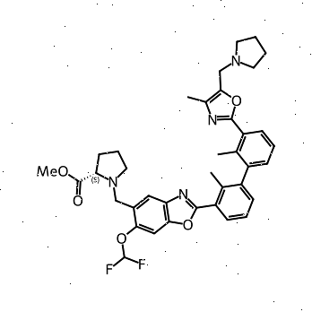 COC(=O)[C@@H]1CCCN1Cc1cc2nc(-c3cccc(-c4cccc(-c5nc(C)c(CN6CCCC6)o5)c4C)c3C)oc2cc1OC(F)F